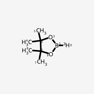 [3H]B1OC(C)(C)C(C)(C)O1